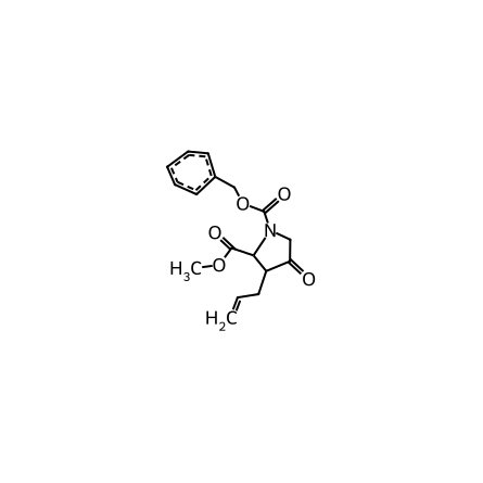 C=CCC1C(=O)CN(C(=O)OCc2ccccc2)C1C(=O)OC